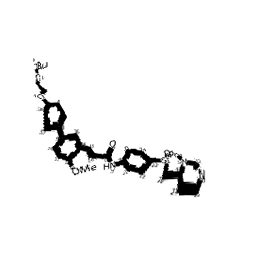 CCCCOCCOc1ccc(-c2ccc(OC)c(/C=C/C(=O)Nc3ccc([S@+]([O-])CC4C#CN=CN4CCC)cc3)c2)cc1